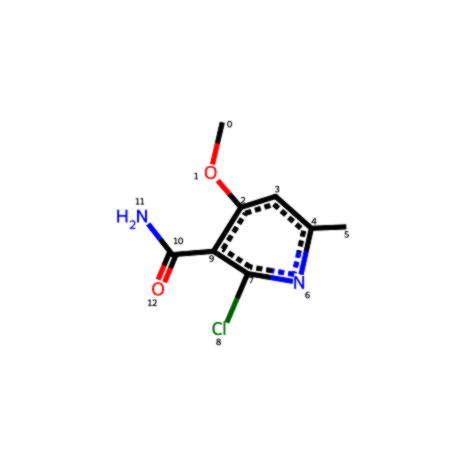 COc1cc(C)nc(Cl)c1C(N)=O